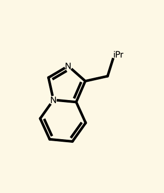 CC(C)Cc1ncn2ccccc12